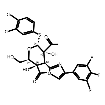 CC(=O)[C@@]1(O)[C@@H](c2nc(-c3cc(F)c(F)c(F)c3)co2)[C@](O)(C(C)=O)[C@@H](CO)O[C@@H]1Sc1ccc(Cl)c(Cl)c1